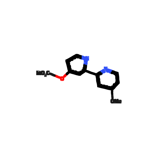 CCOC(=O)Oc1ccnc(-c2cc(OC)ccn2)c1